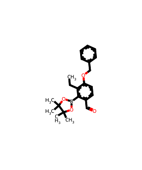 CCc1c(OCc2ccccc2)ccc(C=O)c1B1OC(C)(C)C(C)(C)O1